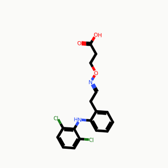 O=C(O)CCON=CCc1ccccc1Nc1c(Cl)cccc1Cl